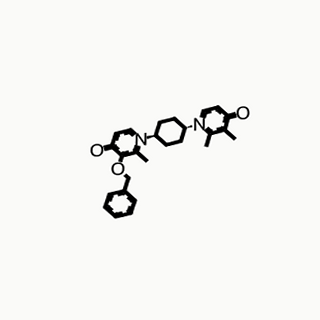 Cc1c(C)n([C@H]2CC[C@H](n3ccc(=O)c(OCc4ccccc4)c3C)CC2)ccc1=O